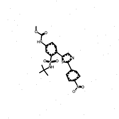 COC(=O)Nc1ccc(-c2cnc(-c3ccc([N+](=O)[O-])cc3)s2)c(S(=O)(=O)NC(C)(C)C)c1